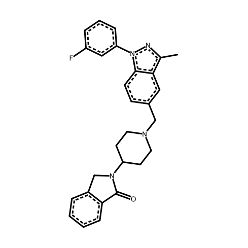 Cc1nn(-c2cccc(F)c2)c2ccc(CN3CCC(N4Cc5ccccc5C4=O)CC3)cc12